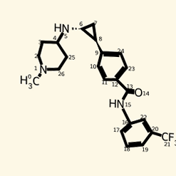 CN1CCC(N[C@@H]2C[C@H]2c2ccc(C(=O)Nc3cccc(C(F)(F)F)c3)cc2)CC1